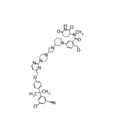 CN(C(=O)c1cc(N2CCCC(N3CC(N4CCN(c5nccc(COc6ccc(C(C)(C)c7cc(Cl)cc(C#N)c7)cc6)n5)CC4)C3)C2)ccc1C=O)C1CCC(=O)NC1=O